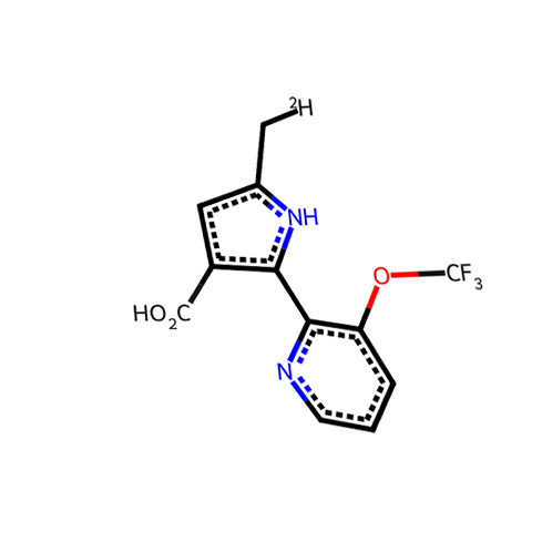 [2H]Cc1cc(C(=O)O)c(-c2ncccc2OC(F)(F)F)[nH]1